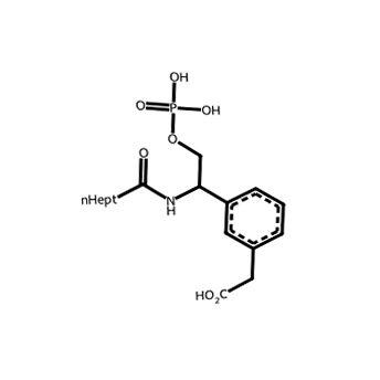 CCCCCCCC(=O)NC(COP(=O)(O)O)c1cccc(CC(=O)O)c1